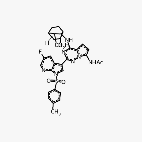 CC(=O)Nc1ccc2c(N[C@H]3C4CCC(CC4)[C@@H]3C(=O)O)nc(-c3cn(S(=O)(=O)c4ccc(C)cc4)c4ncc(F)cc34)nn12